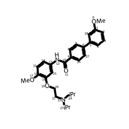 COc1cccc(-c2ccc(C(=O)Nc3ccc(OC)c(OCCN(C(C)C)C(C)C)c3)cc2)c1